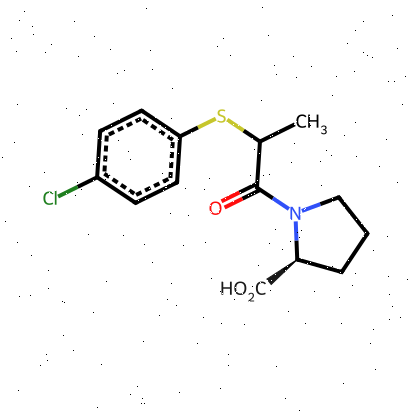 CC(Sc1ccc(Cl)cc1)C(=O)N1CCC[C@H]1C(=O)O